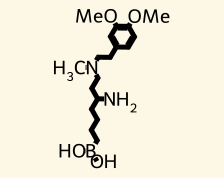 COc1ccc(CCN(C)CCC(N)CCCCB(O)O)cc1OC